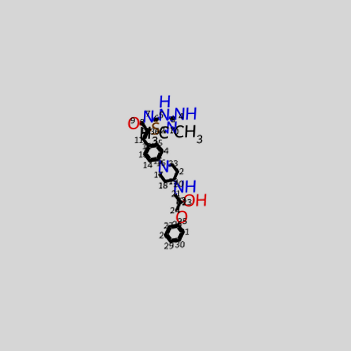 CN(C)C(=N)NC1=NC(=O)C(=Cc2ccc(N3CCC(NC[C@H](O)COc4ccccc4)CC3)cc2)S1